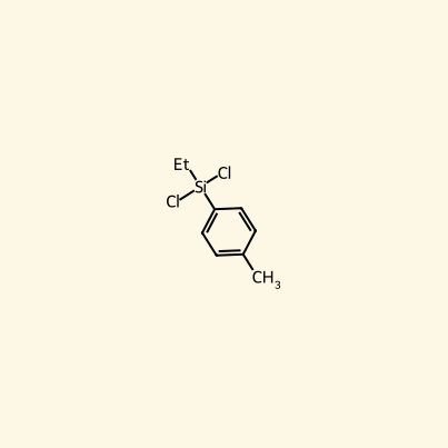 CC[Si](Cl)(Cl)c1ccc(C)cc1